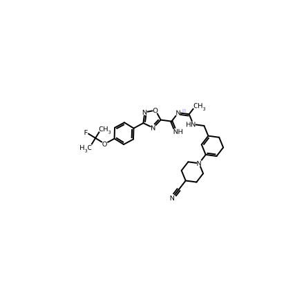 C/C(=N/C(=N)c1nc(-c2ccc(OC(C)(C)F)cc2)no1)NCC1=CC(N2CCC(C#N)CC2)=CCC1